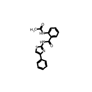 CC(=O)Nc1ccccc1C(=O)Nc1nc(-c2ccccc2)cs1